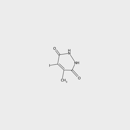 Cc1c(I)c(=O)[nH][nH]c1=O